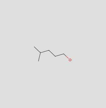 C[C](C)CCC[O]